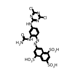 NC(=O)Nc1cc(Nc2nc(Cl)nc(Cl)n2)ccc1N=Nc1cc(S(=O)(=O)O)c2cc(S(=O)(=O)O)cc(S(=O)(=O)O)c2c1